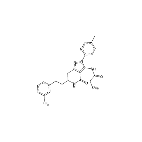 CSCC(=O)Nc1c2c(nn1-c1ccc(C)cn1)CC(CCc1cccc(C(F)(F)F)c1)NC2=O